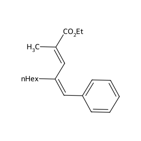 CCCCCCC(=Cc1ccccc1)/C=C(\C)C(=O)OCC